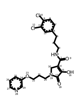 O=C(NCCCc1ccc(Cl)c(Cl)c1)C1=C(O)C(=O)N(CCCOc2cccnc2)C1